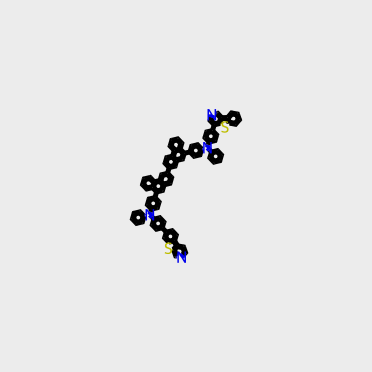 c1ccc(N(c2ccc(-c3ccc4c(c3)sc3cnccc34)cc2)c2ccc(-c3cc4ccc(-c5ccc6c(c5)cc(-c5ccc(N(c7ccccc7)c7ccc(-c8cncc9c8sc8ccccc89)cc7)cc5)c5ccccc56)cc4c4ccccc34)cc2)cc1